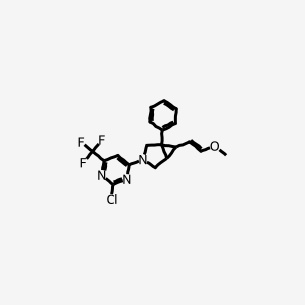 CO/C=C/C1C2CN(c3cc(C(F)(F)F)nc(Cl)n3)CC12c1ccccc1